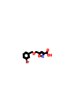 O=C(O)c1cc(COCc2cccc(Br)c2)on1